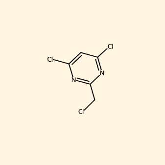 ClCc1nc(Cl)cc(Cl)n1